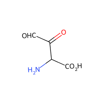 NC(C(=O)O)C(=O)C=O